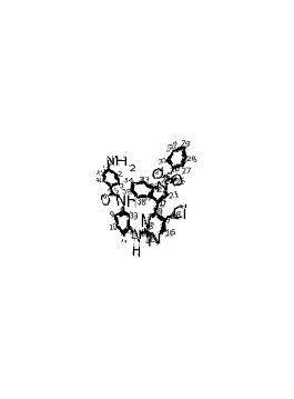 Nc1ccc(C(=O)Nc2cccc(Nc3ncc(Cl)c(-c4cn(S(=O)(=O)c5ccccc5)c5ccccc45)n3)c2)cc1